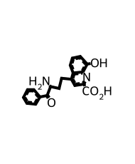 NC(CCc1cc(C(=O)O)nc2c(O)cccc12)C(=O)c1ccccc1